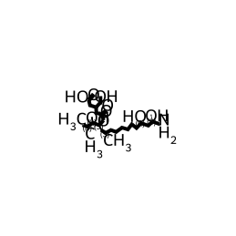 CC[C@@H](C)[C@@H](O)[C@H](C[C@@H](C)CCCCCC[C@@H](O)C[C@H](O)CN)OC(=O)CC(CC(=O)O)C(=O)O